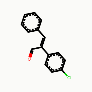 O=CC(=Cc1ccccc1)c1ccc(Cl)cc1